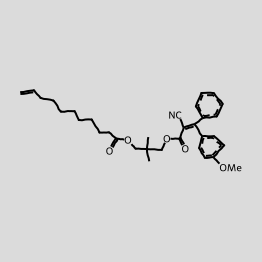 C=CCCCCCCCCC(=O)OCC(C)(C)COC(=O)/C(C#N)=C(/c1ccccc1)c1ccc(OC)cc1